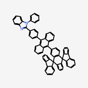 c1ccc(-n2c(-c3ccc(-c4c5ccccc5c(-c5ccc6c(c5)C5(c7ccccc7-c7ccccc75)c5ccccc5C65c6ccccc6-c6ccccc65)c5ccccc45)cc3)nc3ccccc32)cc1